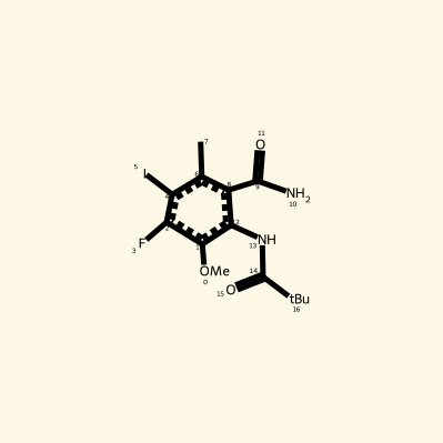 COc1c(F)c(I)c(C)c(C(N)=O)c1NC(=O)C(C)(C)C